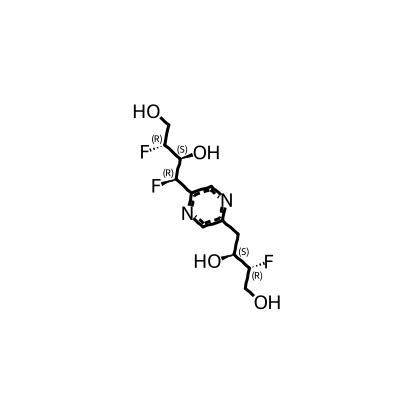 OC[C@@H](F)[C@@H](O)[C@H](F)c1cnc(C[C@H](O)[C@H](F)CO)cn1